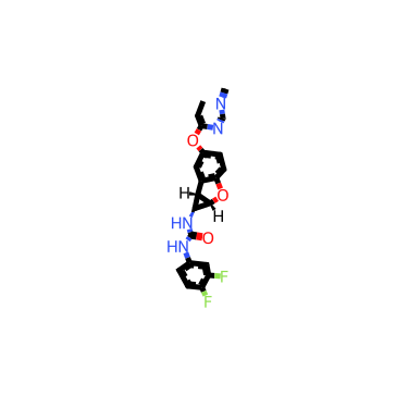 C=N/C=N\C(=C/C)Oc1ccc2c(c1)[C@H]1[C@H](NC(=O)Nc3ccc(F)c(F)c3)[C@H]1O2